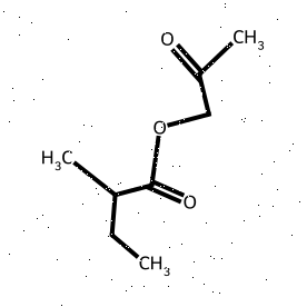 CCC(C)C(=O)OCC(C)=O